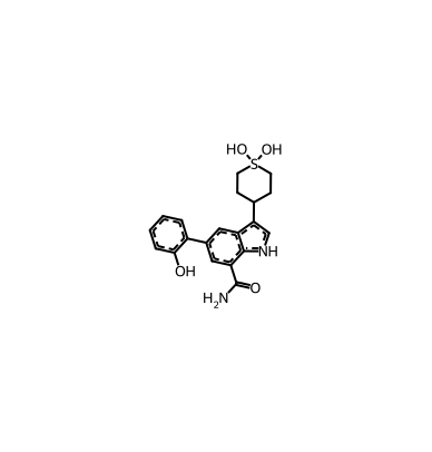 NC(=O)c1cc(-c2ccccc2O)cc2c(C3CCS(O)(O)CC3)c[nH]c12